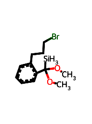 COC([SiH3])(OC)c1ccccc1CCCBr